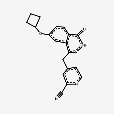 N#Cc1cc(Cc2n[nH]c(=O)c3ccc(OC4CCC4)cc23)ccn1